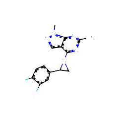 CSc1nc(N2CC2c2ccc(F)c(F)c2)c2cnn(C)c2n1